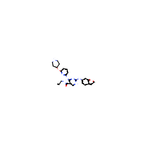 C=CCn1c(=O)c2cnc(Nc3ccc4ccoc4c3)nc2n1-c1cccc(OC2CCN(C)CC2)n1